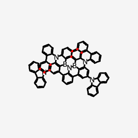 c1ccc(-c2ccccc2N2c3ccccc3B3c4c(cc(-n5c6ccccc6c6ccccc65)cc42)-c2cccc4c2N3B2c3ccccc3N(c3ccccc3-c3ccccc3)c3cc(-n5c6ccccc6c6ccccc65)cc-4c32)cc1